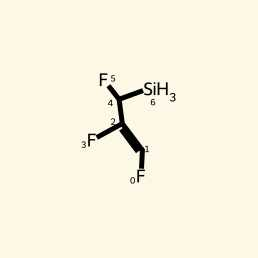 FC=C(F)C(F)[SiH3]